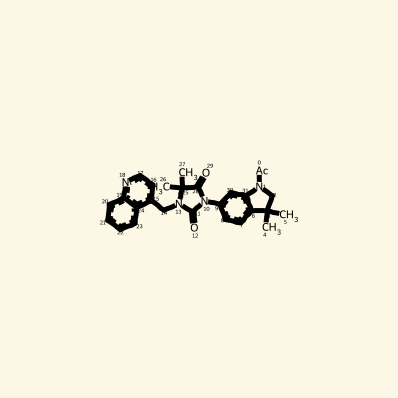 CC(=O)N1CC(C)(C)c2ccc(N3C(=O)N(Cc4ccnc5ccccc45)C(C)(C)C3=O)cc21